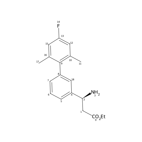 CCOC(=O)C[C@H](N)c1cccc(-c2c(C)cc(F)cc2C)c1